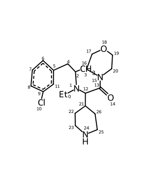 CCN(C(C)Cc1cccc(Cl)c1)C(C(=O)N1CCOCC1)C1CCNCC1